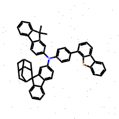 CC1(C)c2ccccc2-c2ccc(N(c3ccc(-c4cccc5c4sc4ccccc45)cc3)c3ccc4c(c3)C3(c5ccccc5-4)C4CC5CC(C4)CC3C5)cc21